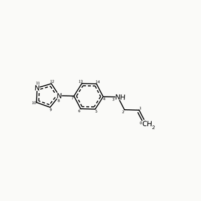 C=CCNc1ccc(-n2ccnc2)cc1